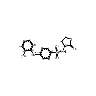 O=C1OCC[C@@H]1NS(=O)(=O)c1ccc(Nc2ccccc2Cl)cc1